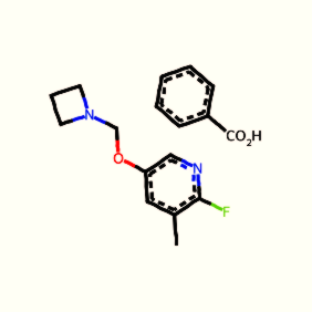 Cc1cc(OCN2CCC2)cnc1F.O=C(O)c1ccccc1